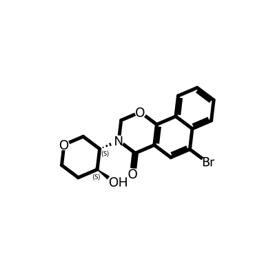 O=C1c2cc(Br)c3ccccc3c2OCN1[C@H]1COCC[C@@H]1O